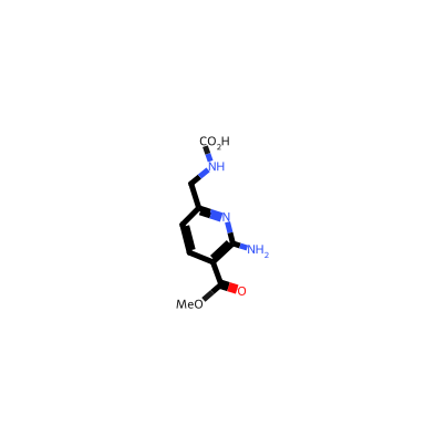 COC(=O)c1ccc(CNC(=O)O)nc1N